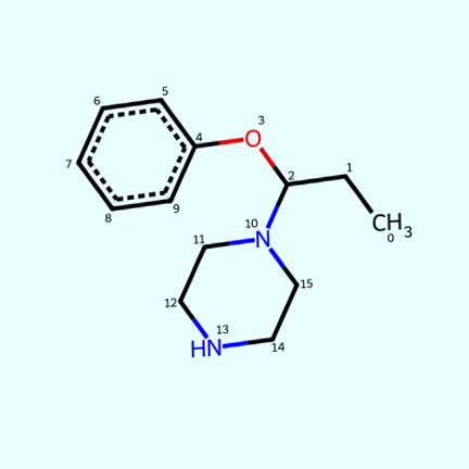 CCC(Oc1ccccc1)N1CCNCC1